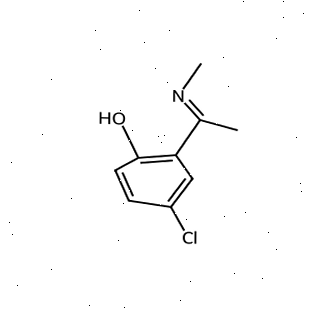 CN=C(C)c1cc(Cl)ccc1O